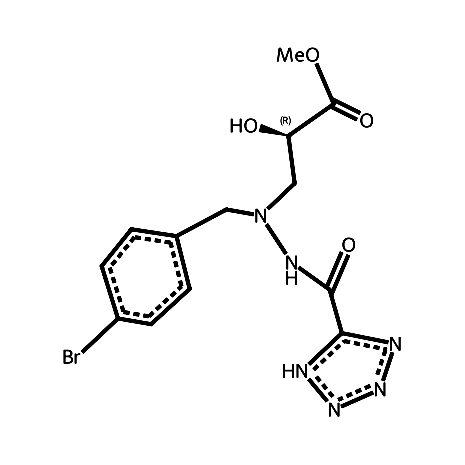 COC(=O)[C@H](O)CN(Cc1ccc(Br)cc1)NC(=O)c1nnn[nH]1